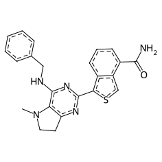 CN1CCc2nc(-c3scc4c(C(N)=O)cccc34)nc(NCc3ccccc3)c21